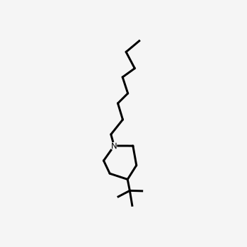 CCCCCCCCN1CCC(C(C)(C)C)CC1